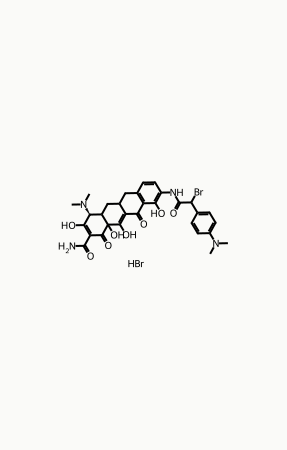 Br.CN(C)c1ccc(C(Br)C(=O)Nc2ccc3c(c2O)C(=O)C2=C(O)C4(O)C(=O)C(C(N)=O)=C(O)[C@@H](N(C)C)C4CC2C3)cc1